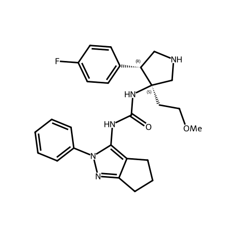 COCC[C@@]1(NC(=O)Nc2c3c(nn2-c2ccccc2)CCC3)CNC[C@H]1c1ccc(F)cc1